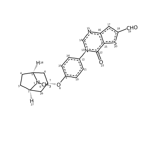 CN1[C@@H]2CC[C@H]1C[C@H](Oc1ccc(-n3cnc4cc(C=O)sc4c3=O)cc1)C2